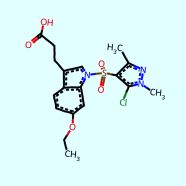 CCOc1ccc2c(CCC(=O)O)cn(S(=O)(=O)c3c(C)nn(C)c3Cl)c2c1